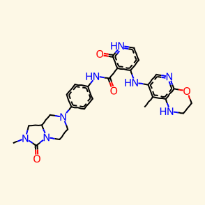 Cc1c(Nc2cc[nH]c(=O)c2C(=O)Nc2ccc(N3CCN4C(=O)N(C)CC4C3)cc2)cnc2c1NCCO2